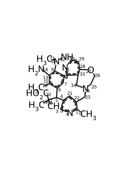 Cc1ncc(C(c2ccc(N(C)N)c(N)c2C)C(C)(C)C(=O)O)cc1CN1CCOc2ccncc2C1